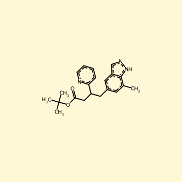 Cc1cc(CC(CC(=O)OC(C)(C)C)c2ccccn2)cc2cn[nH]c12